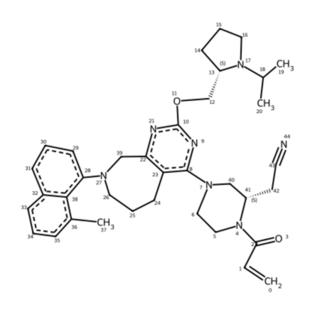 C=CC(=O)N1CCN(c2nc(OC[C@@H]3CCCN3C(C)C)nc3c2CCCN(c2cccc4cccc(C)c24)C3)C[C@@H]1CC#N